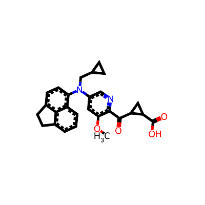 COc1cc(N(CC2CC2)c2ccc3c4c(cccc24)CC3)cnc1C(=O)C1CC1C(=O)O